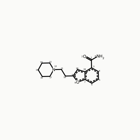 NC(=O)c1cccc2oc(CCN3CCCCC3)cc12